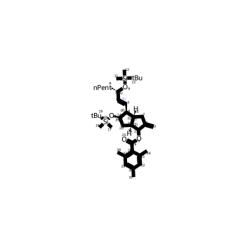 C=C1C[C@@H]2[C@H](/C=C/[C@H](CCCCC)O[Si](C)(C)C(C)(C)C)[C@H](O[Si](C)(C)C(C)(C)C)C[C@@H]2C1OC(=O)c1c(C)cc(C)cc1C